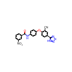 N#Cc1cc(-c2nnn[nH]2)ccc1Oc1ccc(NC(=O)c2cccc([N+](=O)[O-])c2)cc1